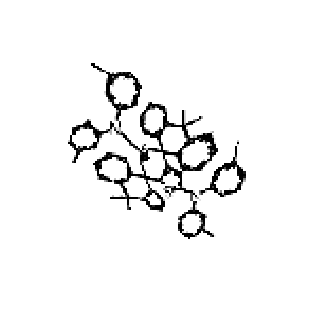 Cc1cccc(N(c2cccc(C)c2)c2cc3c(s2)C2(c4ccccc4C(C)(C)c4ccccc42)c2cc(N(c4cccc(C)c4)c4cccc(C)c4)sc2C32c3ccccc3C(C)(C)c3ccccc32)c1